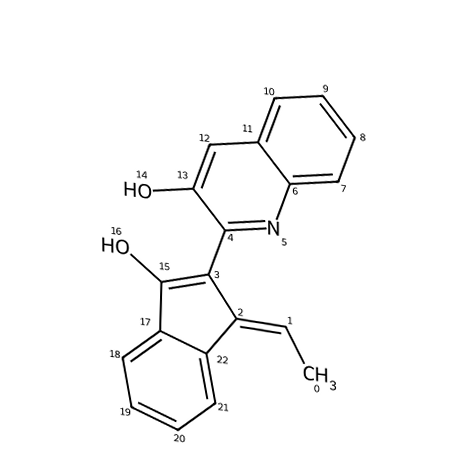 C/C=C1/C(c2nc3ccccc3cc2O)=C(O)c2ccccc21